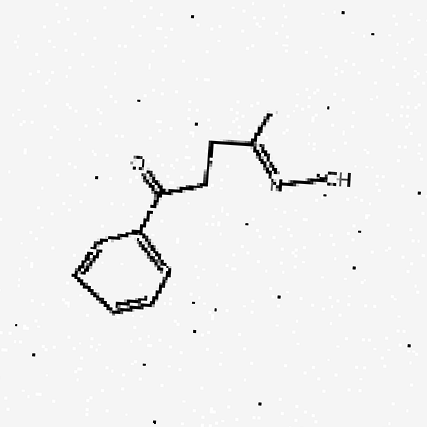 [CH2]C(CCC(=O)c1ccccc1)=NO